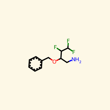 NCC(OCc1ccccc1)C(F)C(F)F